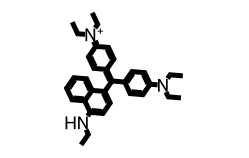 CCNc1ccc(C(=C2C=CC(=[N+](CC)CC)C=C2)c2ccc(N(CC)CC)cc2)c2ccccc12